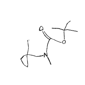 [CH2]C1(N(C)C(=O)OC(C)(C)C)CC1